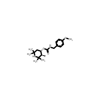 COc1ccc(CNC(=O)O[C@H]2CC(C)(C)NC(C)(C)[C@@H]2F)cc1